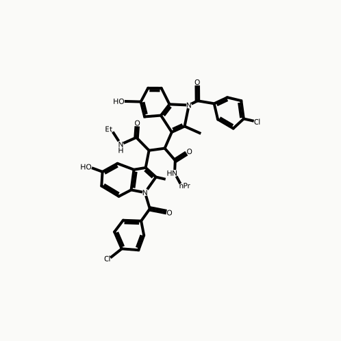 CCCNC(=O)C(c1c(C)n(C(=O)c2ccc(Cl)cc2)c2ccc(O)cc12)C(C(=O)NCC)c1c(C)n(C(=O)c2ccc(Cl)cc2)c2ccc(O)cc12